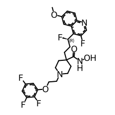 COc1ccc2ncc(F)c([C@H](F)CCC3(C(=O)NO)CCN(CCOc4cc(F)cc(F)c4F)CC3)c2c1